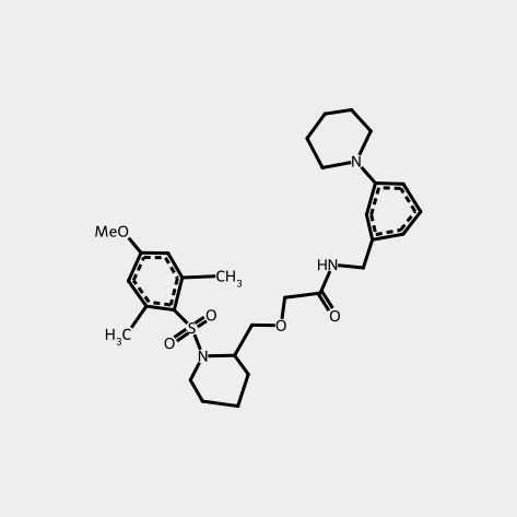 COc1cc(C)c(S(=O)(=O)N2CCCCC2COCC(=O)NCc2cccc(N3CCCCC3)c2)c(C)c1